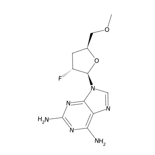 COC[C@@H]1C[C@@H](F)[C@H](n2cnc3c(N)nc(N)nc32)O1